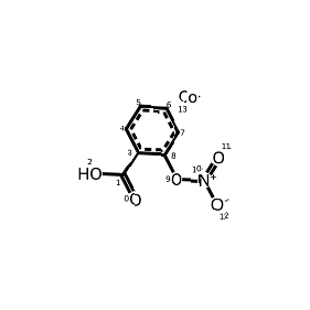 O=C(O)c1ccccc1O[N+](=O)[O-].[Co]